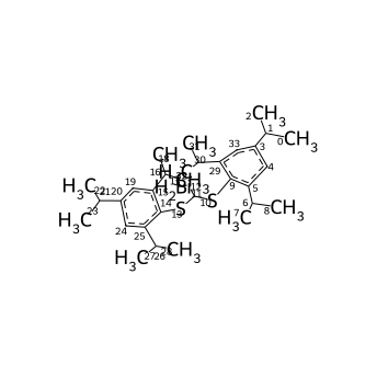 CC(C)c1cc(C(C)C)c(S[CH]([BiH2])Sc2c(C(C)C)cc(C(C)C)cc2C(C)C)c(C(C)C)c1